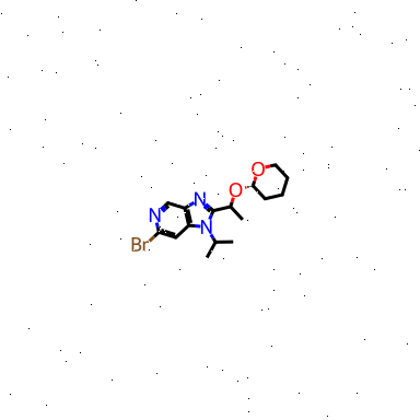 CC(O[C@H]1CCCCO1)c1nc2cnc(Br)cc2n1C(C)C